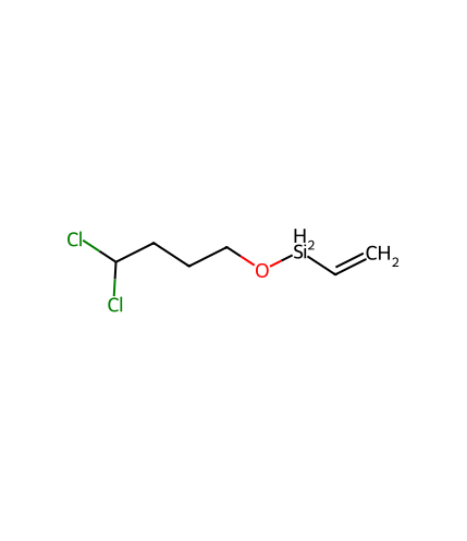 C=C[SiH2]OCCCC(Cl)Cl